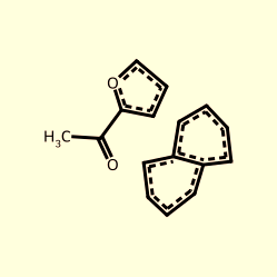 CC(=O)c1ccco1.c1ccc2ccccc2c1